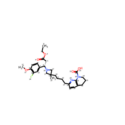 CCOC(=O)C[C@@H](c1ccc(OC)c(F)c1)N1CC(C)(CCCCc2ccc3c(n2)N(C(=O)O)CCC3)C1